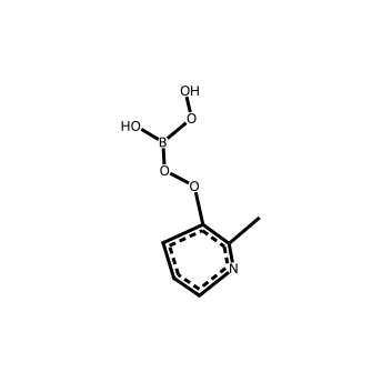 Cc1ncccc1OOB(O)OO